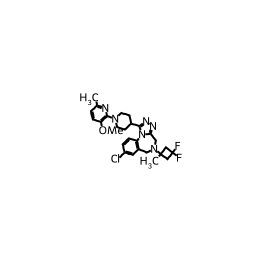 COc1ccc(C)nc1N1CCC(c2nnc3n2-c2ccc(Cl)cc2CN(C2(C)CC(F)(F)C2)C3)CC1